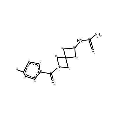 Cc1ccc(C(=O)N2CC3(CC(NC(N)=O)C3)C2)cc1